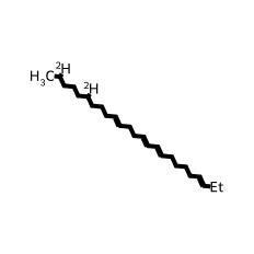 [2H]C(C)CCCC([2H])CCCC=CCCC=CC=CCCCCC=CCC